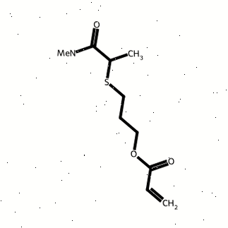 C=CC(=O)OCCCSC(C)C(=O)NC